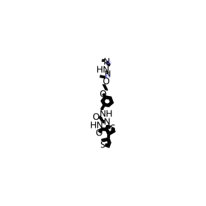 C/N=C\N/N=C(\C)OCCOc1cccc(CNC(=O)c2nc3scc(-c4ccsc4)c3c(=O)[nH]2)c1